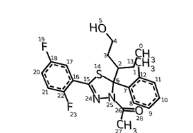 CCC(CCO)C1(c2ccccc2C)SC(c2cc(F)ccc2F)=NN1C(C)=O